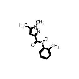 Cc1ccccc1N(Cl)C(=O)c1cc(C)n(C)n1